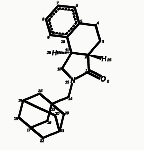 O=C1[C@H]2CCc3ccccc3[C@@H]2CN1CC12CC3CC(CC(C3)C1)C2